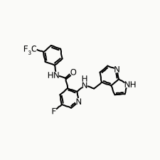 O=C(Nc1cccc(C(F)(F)F)c1)c1cc(F)cnc1NCc1ccnc2[nH]ccc12